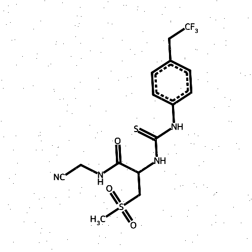 CS(=O)(=O)CC(NC(=S)Nc1ccc(CC(F)(F)F)cc1)C(=O)NCC#N